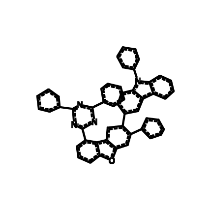 c1ccc(-c2nc(-c3ccccc3)nc(-c3cccc4oc5cc(-c6ccccc6)c(-c6ccc7c(c6)c6ccccc6n7-c6ccccc6)cc5c34)n2)cc1